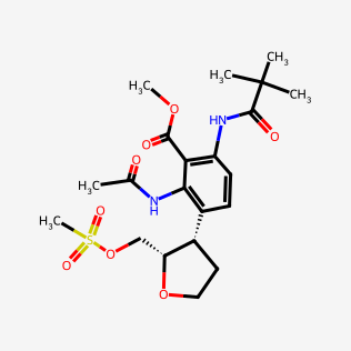 COC(=O)c1c(NC(=O)C(C)(C)C)ccc([C@@H]2CCO[C@@H]2COS(C)(=O)=O)c1NC(C)=O